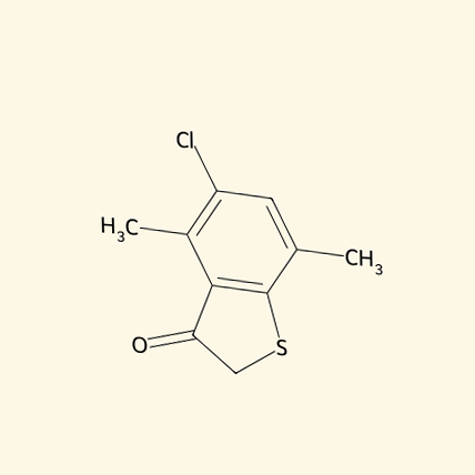 Cc1cc(Cl)c(C)c2c1SCC2=O